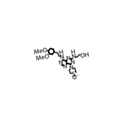 COc1ccc(CCNc2ncnc3c(N4CC[S+]([O-])CC4)nc(NCCO)nc23)cc1OC